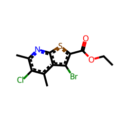 CCOC(=O)c1sc2nc(C)c(Cl)c(C)c2c1Br